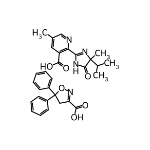 Cc1cnc(C2=NC(C)(C(C)C)C(=O)N2)c(C(=O)O)c1.O=C(O)C1=NOC(c2ccccc2)(c2ccccc2)C1